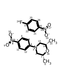 C[C@@H]1CN(c2ccc([N+](=O)[O-])cc2)C[C@H](C)O1.O=[N+]([O-])c1ccc(F)cc1